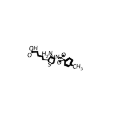 Cc1ccc(S(=O)(=O)NC2CS[C@@H](CCCCC(=O)O)[C@H]2N)cc1